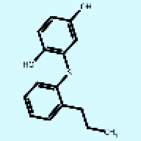 CCCc1ccccc1Sc1cc(O)ccc1O